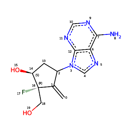 C=C1C(n2cnc3c(N)ncnc32)C[C@H](O)[C@]1(F)CO